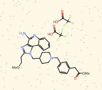 COCCc1nc2c(N)nc3ccccc3c2n1CC1CCN(Cc2cccc(CC(=O)OC)c2)CC1.O=C(O)C(F)(F)F.O=C(O)C(F)(F)F